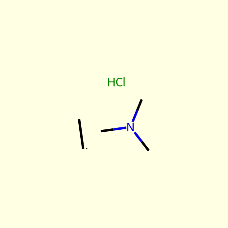 CN(C)C.Cl.[CH2]C